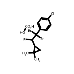 CC1(C)CC1C(Br)C(Br)(Br)c1ccc(Cl)cc1.O=C(O)O